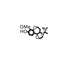 COc1c(O)ccc2c1OCCC1C2OCCN1C(C)N(C)C